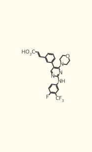 O=C(O)/C=C/c1cccc(-c2cnc(Nc3ccc(F)c(C(F)(F)F)c3)nc2N2CCOCC2)c1